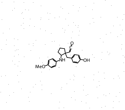 COc1ccc(NC2CCCC2(C=C=O)Cc2ccc(O)cc2)cc1